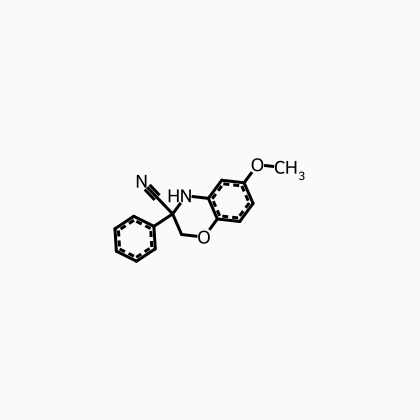 COc1ccc2c(c1)NC(C#N)(c1ccccc1)CO2